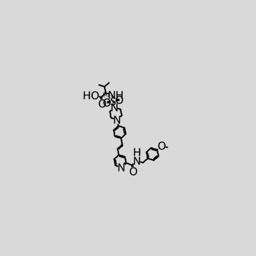 COc1ccc(CNC(=O)c2cc(C=Cc3ccc(N4CCN(S(=O)(=O)N[C@@H](C(=O)O)C(C)C)CC4)cc3)ccn2)cc1